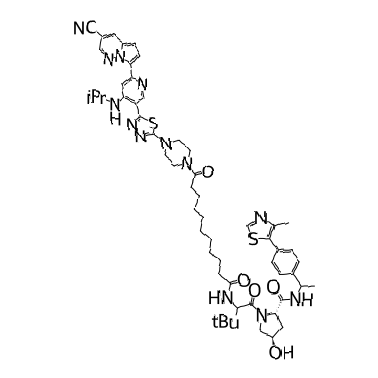 Cc1ncsc1-c1ccc(C(C)NC(=O)[C@@H]2C[C@@H](O)CN2C(=O)C(NC(=O)CCCCCCCCCC(=O)N2CCN(c3nnc(-c4cnc(-c5ccc6cc(C#N)cnn56)cc4NC(C)C)s3)CC2)C(C)(C)C)cc1